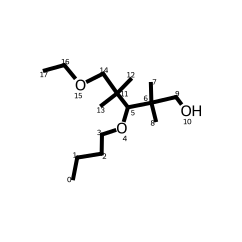 CCCCOC(C(C)(C)CO)C(C)(C)COCC